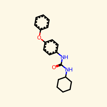 O=C(Nc1ccc(Oc2ccccc2)cc1)NC1CCCCC1